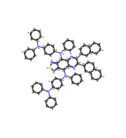 c1ccc(N(c2ccccc2)c2ccc(N(c3ccccc3)c3c4nsnc4c(N(c4ccccc4)c4ccc(N(c5ccccc5)c5ccccc5)cc4)c4nc(-c5ccc6ccccc6c5)c(-c5ccc6ccccc6c5)nc34)cc2)cc1